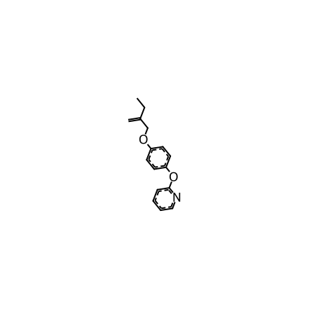 C=C(CC)COc1ccc(Oc2ccccn2)cc1